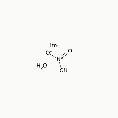 O.O=[N+]([O-])O.[Tm]